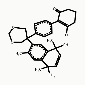 Cc1cc2c(cc1C1(c3ccc(C4=C(O)CCCC4=O)cc3)COCOC1)C(C)(C)C=CC2(C)C